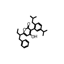 CCC(Cc1ccccc1)c1cc(O)c(-c2cc(C(C)C)ccc2CC(C)C)c(=O)o1